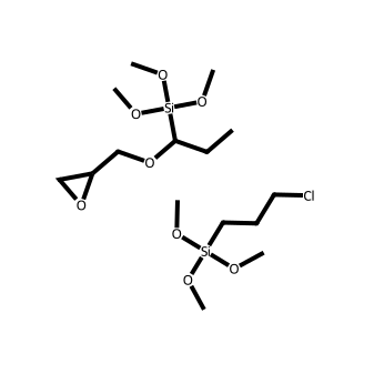 CCC(OCC1CO1)[Si](OC)(OC)OC.CO[Si](CCCCl)(OC)OC